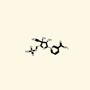 C#C[C@@]1(O)[C@@H](COP(=O)([O-])O)O[C@@H]([n+]2cccc(C(N)=O)c2)[C@@H]1O